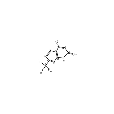 O=c1cc(Br)c2ccc(C(F)(F)F)cc2o1